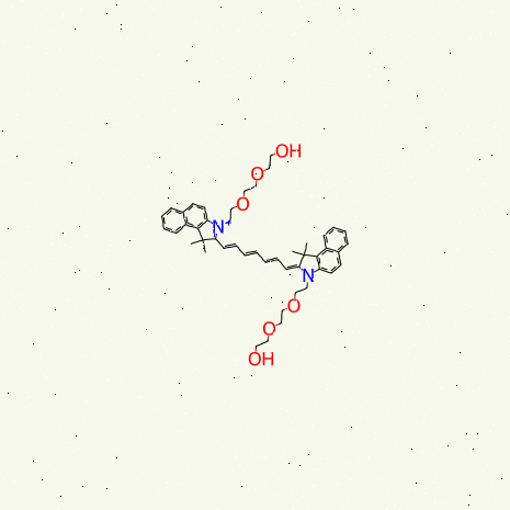 CC1(C)C(/C=C/C=C/C=C/C=C2/N(CCOCCOCCO)c3ccc4ccccc4c3C2(C)C)=[N+](CCOCCOCCO)c2ccc3ccccc3c21